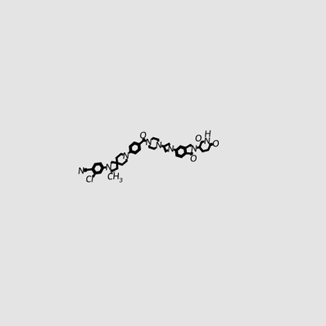 C[C@H]1CC2(CCN(c3ccc(C(=O)N4CCN(C5CN(c6ccc7c(c6)CN(C6CCC(=O)NC6=O)C7=O)C5)CC4)cc3)CC2)CN1c1ccc(C#N)c(Cl)c1